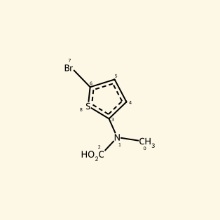 CN(C(=O)O)c1ccc(Br)s1